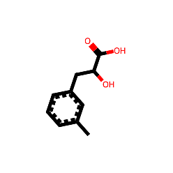 Cc1cccc(CC(O)C(=O)O)c1